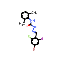 Cc1cccc(C)c1NC(=O)N/N=C/c1c(F)cc(Br)cc1I